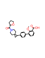 COc1c(C(=O)O)cccc1-c1ccc(C2CC23CCN(C(=O)[C@H]2CCCO2)CC3)cc1